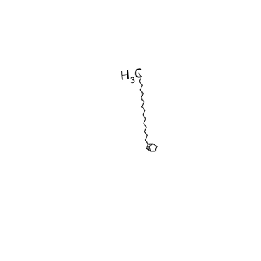 CCCCCCCCCCCCCCCCCC1=C2CCC(=C1)C2